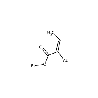 CC=C(C(C)=O)C(=O)OCC